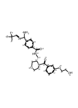 NC(/N=C/C(F)(F)F)c1ccc(C(=O)NC[C@H]2COCCN2C(=O)c2cccc(OCCO)c2)cc1